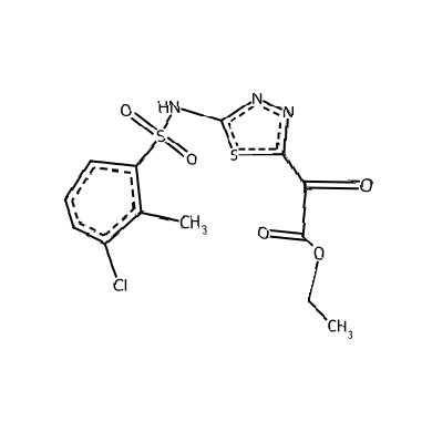 CCOC(=O)C(=O)c1nnc(NS(=O)(=O)c2cccc(Cl)c2C)s1